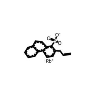 C=CCc1ccc2c(ccc3ccccc32)c1S(=O)(=O)[O-].[Rb+]